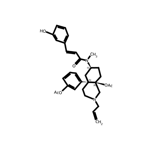 C=CCN1CC[C@@]2(c3cccc(OC(C)=O)c3)C[C@@H](N(C)C(=O)C=Cc3cccc(O)c3)CC[C@]2(OC(C)=O)C1